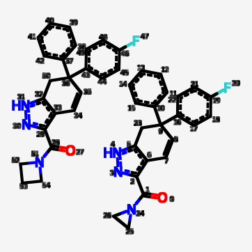 O=C(c1n[nH]c2c1C=CC(c1ccccc1)(c1ccc(F)cc1)C2)N1CC1.O=C(c1n[nH]c2c1C=CC(c1ccccc1)(c1ccc(F)cc1)C2)N1CCC1